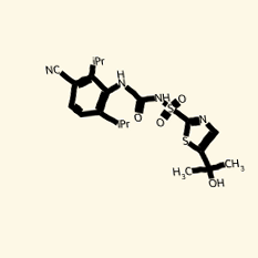 CC(C)c1ccc(C#N)c(C(C)C)c1NC(=O)NS(=O)(=O)c1ncc(C(C)(C)O)s1